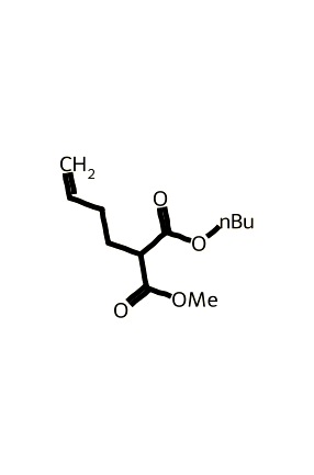 C=CCCC(C(=O)OC)C(=O)OCCCC